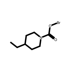 CCC1CCN(C(=O)OBr)CC1